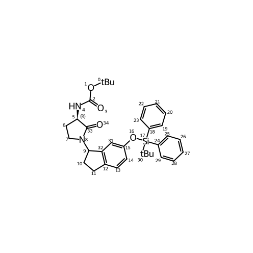 CC(C)(C)OC(=O)N[C@@H]1CCN(C2CCc3ccc(O[Si](c4ccccc4)(c4ccccc4)C(C)(C)C)cc32)C1=O